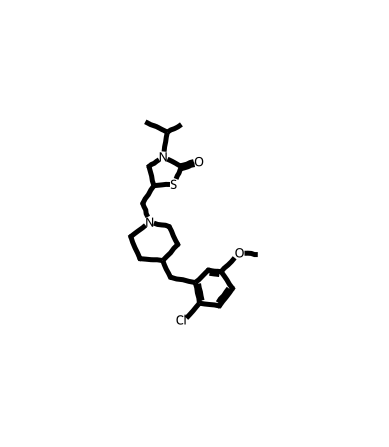 COc1ccc(Cl)c(CC2CCN(CC3CN(C(C)C)C(=O)S3)CC2)c1